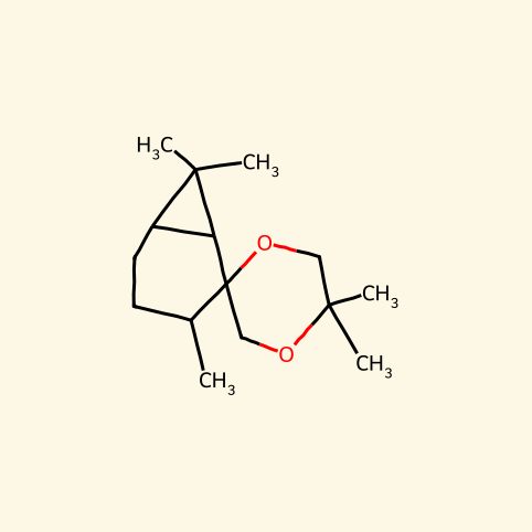 CC1CCC2C(C2(C)C)C12COC(C)(C)CO2